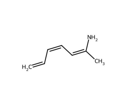 C=C/C=C\C=C(C)N